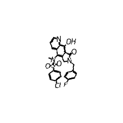 CN(c1c2c(c(O)c3ncccc13)C(=O)N(Cc1ccc(F)cc1)C2)S(=O)(=O)c1ccc(Cl)cc1